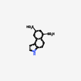 O=S(=O)(O)c1cc(S(=O)(=O)O)c2ccc3[nH]ccc3c2c1